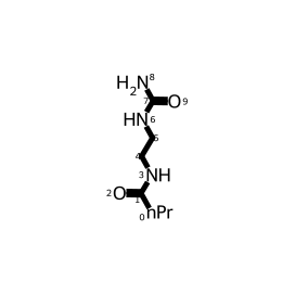 CCCC(=O)NCCNC(N)=O